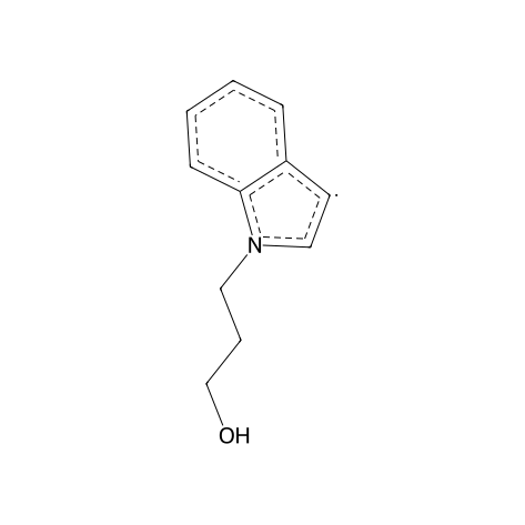 OCCCn1c[c]c2ccccc21